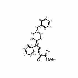 COC(=O)C(=O)c1cn(C2CCN(Cc3ccccc3)CC2)c2ccccc12